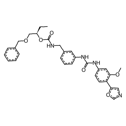 CC[C@H](COCc1ccccc1)OC(=O)NCc1cccc(NC(=O)Nc2ccc(-c3cnco3)c(OC)c2)c1